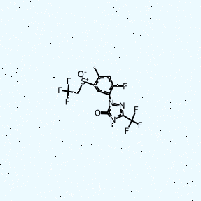 Cc1cc(F)c(-n2nc(C(F)(F)F)n(C)c2=O)cc1[S+]([O-])CC(F)(F)F